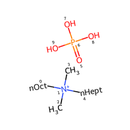 CCCCCCCC[N+](C)(C)CCCCCCC.O=P(O)(O)O